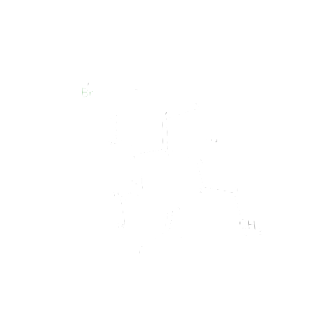 CCCC1C=Cc2cc(Br)cc(-c3ccccc3)c21